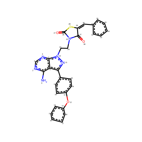 Nc1ncnc2c1c(-c1ccc(Oc3ccccc3)cc1)nn2CCN1C(=O)SC(=Cc2ccccc2)C1=O